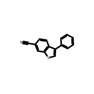 N#Cc1ccc2c(-c3ccccc3)csc2c1